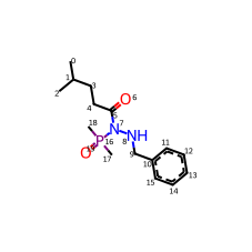 CC(C)CCC(=O)N(NCc1ccccc1)P(C)(C)=O